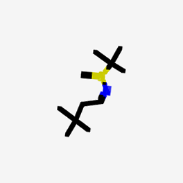 C=S(/N=C\CC(C)(C)C)C(C)(C)C